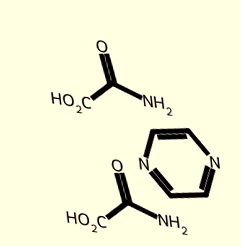 NC(=O)C(=O)O.NC(=O)C(=O)O.c1cnccn1